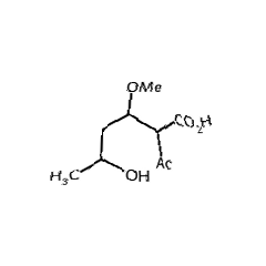 COC(CC(C)O)C(C(C)=O)C(=O)O